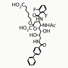 CC(=O)N[C@H]1[C@H]([C@H](O)[C@H](O)CNC(=O)c2ccc(-c3ccccc3)cc2)O[C@@](OCCCCCC(=O)O)(C(=O)O)C[C@@H]1NC(=O)c1c(F)cccc1F